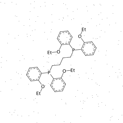 CCOc1ccccc1P(CCCCP(c1ccccc1OCC)c1ccccc1OCC)c1ccccc1OCC